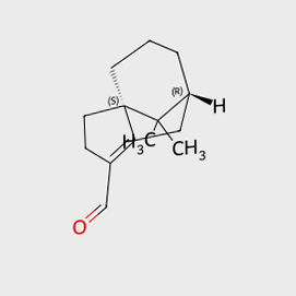 CC1(C)[C@@H]2CCC[C@]13CCC(C=O)=C3C2